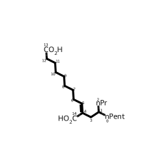 CCCCCC(CCC)CC(=CCCCCCCCC(=O)O)C(=O)O